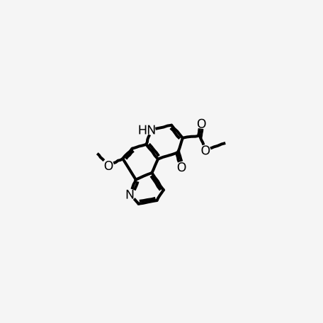 COC(=O)c1c[nH]c2cc(OC)c3ncccc3c2c1=O